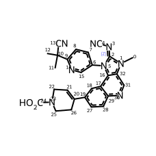 Cn1/c(=N/C#N)n(-c2ccc(C(C)(C)C#N)nc2)c2c3cc(C4=CCN(C(=O)O)CC4)ccc3ncc21